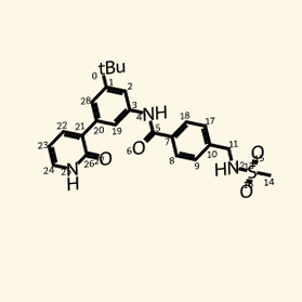 CC(C)(C)c1cc(NC(=O)c2ccc(CNS(C)(=O)=O)cc2)cc(-c2ccc[nH]c2=O)c1